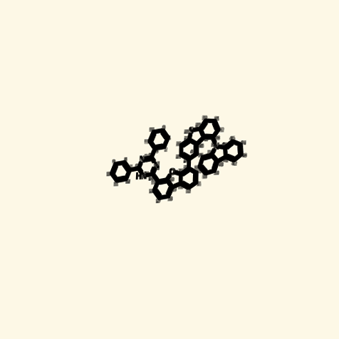 c1ccc(C2=NC(c3ccccc3)NC(c3cccc4c3oc3c(-c5ccc6sc7cccc(-n8c9ccccc9c9ccccc98)c7c6c5)cccc34)=N2)cc1